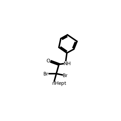 CCCCCCCC(Br)(Br)C(=O)Nc1ccccc1